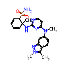 Cc1c2ccc(N(C)c3ccnc(NC4(C)C=CC=CC4S(N)(=O)=O)n3)cc2nn1C